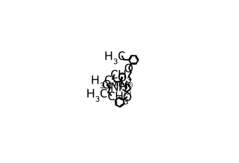 CCc1ccccc1OCCC[C@@H]1C[C@H](Oc2ccccc2)CN1C(=O)[C@@H](NC(=O)C(C)C)C(C)C